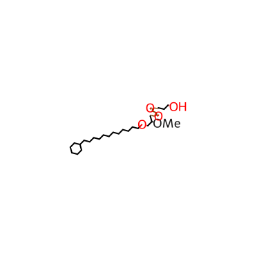 COC(COCCCCCCCCCCCCC1CCCCC1)CS(=O)(=O)CCCO